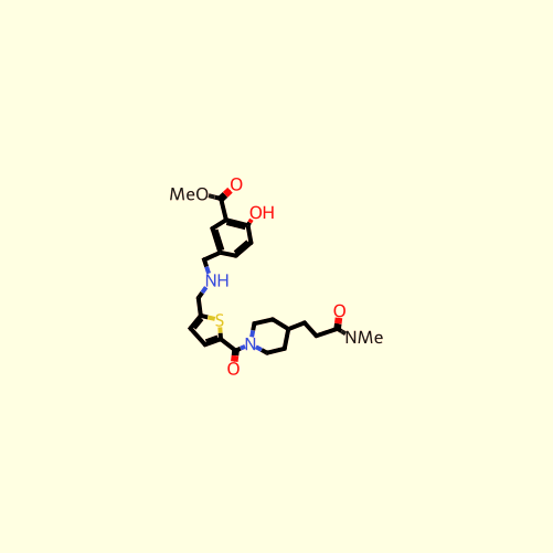 CNC(=O)CCC1CCN(C(=O)c2ccc(CNCc3ccc(O)c(C(=O)OC)c3)s2)CC1